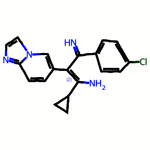 N=C(/C(=C(\N)C1CC1)c1ccc2nccn2c1)c1ccc(Cl)cc1